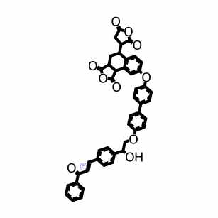 O=C1CC(C2CC3C(=O)OC(=O)C3c3cc(Oc4ccc(-c5ccc(OCC(O)c6ccc(/C=C/C(=O)c7ccccc7)cc6)cc5)cc4)ccc32)C(=O)O1